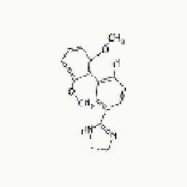 COc1cccc(OC)c1-c1cc(C2=NCCN2)ccc1Cl